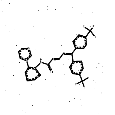 O=C(/C=C/C=C(c1ccc(C(F)(F)F)cc1)c1ccc(C(F)(F)F)cc1)Nc1ccccc1-c1cccnc1